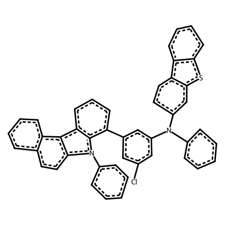 Clc1cc(-c2cccc3c4c5ccccc5ccc4n(-c4ccccc4)c23)cc(N(c2ccccc2)c2ccc3c(c2)sc2ccccc23)c1